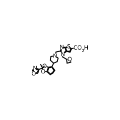 CC1(c2cocn2)Oc2cccc(C3CCN(Cc4nc5sc(C(=O)O)cc5n4CC4CCO4)CC3)c2O1